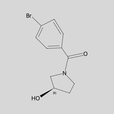 O=C(c1ccc(Br)cc1)N1CC[C@@H](O)C1